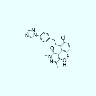 Cc1nn(C)c(=O)c(-c2c(F)ccc(Cl)c2CCc2ccc(-n3cncn3)cc2)c1O